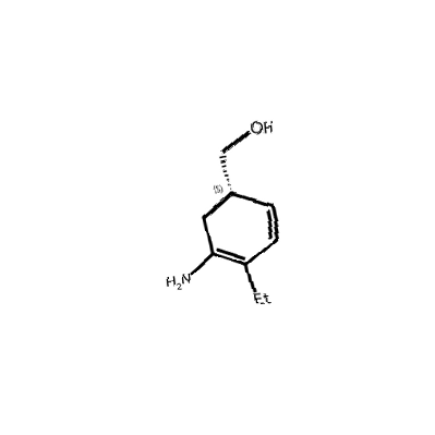 CCC1=C(N)C[C@H](CO)C=C1